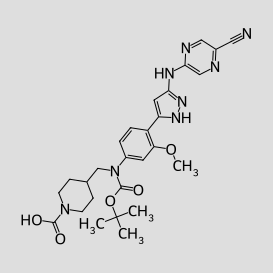 COc1cc(N(CC2CCN(C(=O)O)CC2)C(=O)OC(C)(C)C)ccc1-c1cc(Nc2cnc(C#N)cn2)n[nH]1